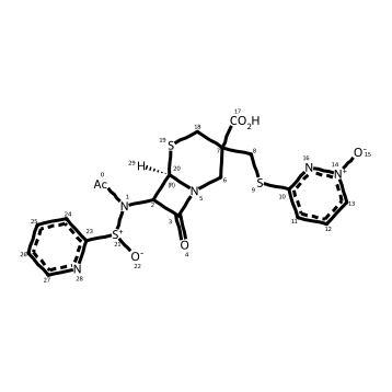 CC(=O)N(C1C(=O)N2CC(CSc3ccc[n+]([O-])n3)(C(=O)O)CS[C@H]12)[S+]([O-])c1ccccn1